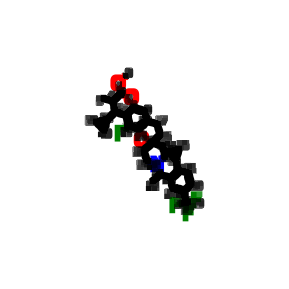 COC(=O)C(C)C(c1ccc2c(c1F)OC1(CC2)CCN(C(C)c2cc(C(F)(F)F)ccc2C2CC2)CC1)C1CC1